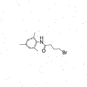 Cc1cc(C)c(NC(=O)CCCBr)c(C)c1